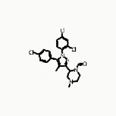 Cc1c(C2CN(C)CCN2C=O)nn(-c2ccc(Cl)cc2Cl)c1-c1ccc(Cl)cc1